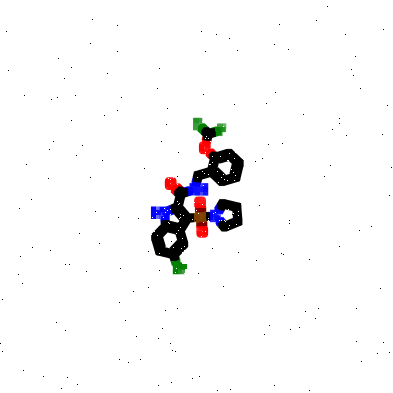 O=C(NCc1ccccc1OC(F)F)c1[nH]c2ccc(Br)cc2c1S(=O)(=O)N1CCCC1